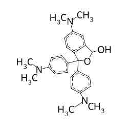 CN(C)c1ccc(C2(c3ccc(N(C)C)cc3)OC(O)c3cc(N(C)C)ccc32)cc1